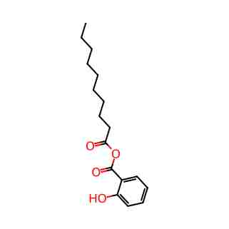 CCCCCCCCCC(=O)OC(=O)c1ccccc1O